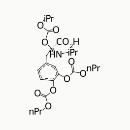 CCCOC(=O)Oc1ccc(C[C@](NC(C)C)(OC(=O)OC(C)C)C(=O)O)cc1OC(=O)OCCC